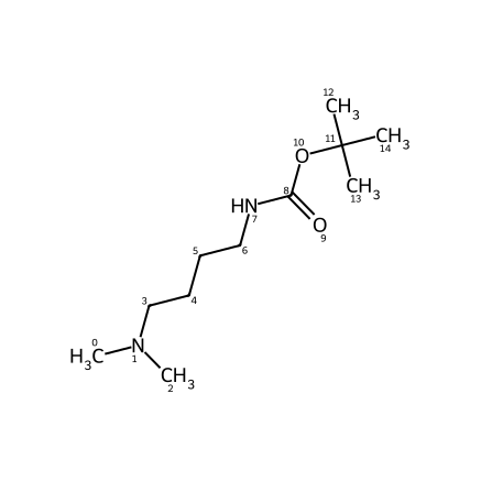 CN(C)CCCCNC(=O)OC(C)(C)C